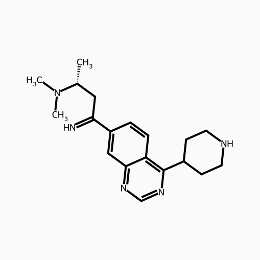 C[C@H](CC(=N)c1ccc2c(C3CCNCC3)ncnc2c1)N(C)C